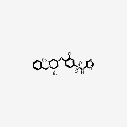 CC[C@@H]1C[C@@H](Oc2ccc(S(=O)(=O)Nc3cscn3)cc2Cl)C[C@H](CC)N1Cc1ccccc1